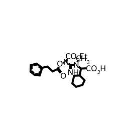 CCOC(=O)N(OC(=O)CCc1ccccc1)C(=N)N(C)C(C(=O)O)C1CCCCC1